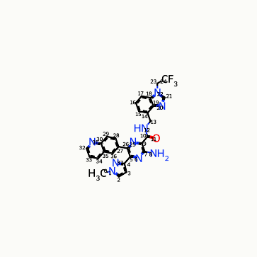 Cn1ccc(-c2nc(N)c(C(=O)NCc3cccc4c3ncn4CC(F)(F)F)nc2-c2ccc3ncccc3c2)n1